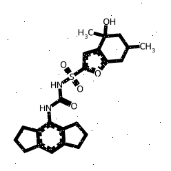 CC1Cc2oc(S(=O)(=O)NC(=O)Nc3c4c(cc5c3CCC5)CCC4)cc2C(C)(O)C1